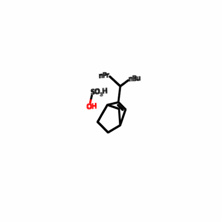 CCCCC(CCC)C1=CC2CCC1C2.O=S(=O)(O)O